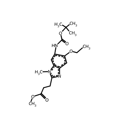 CCOc1cc2nc(CCC(=O)OC)n(C)c2cc1NC(=O)OC(C)(C)C